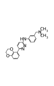 CN(C)Cc1cccc(Nc2ccc(-c3cccc4c3OCCO4)nn2)c1